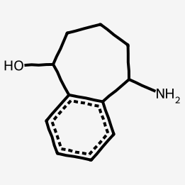 NC1CCCC(O)c2ccccc21